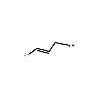 [CH2]CC=CCCCC